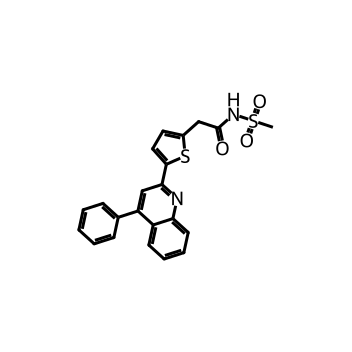 CS(=O)(=O)NC(=O)Cc1ccc(-c2cc(-c3ccccc3)c3ccccc3n2)s1